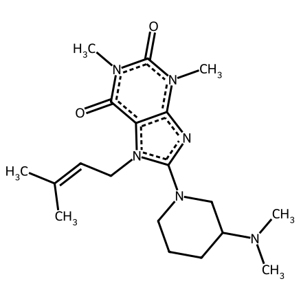 CC(C)=CCn1c(N2CCCC(N(C)C)C2)nc2c1c(=O)n(C)c(=O)n2C